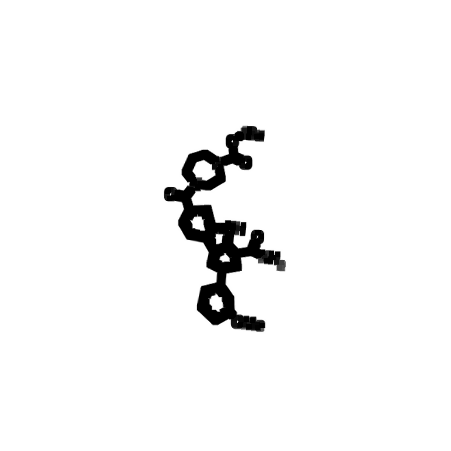 COc1cccc(-c2cc(C(N)=O)c3[nH]c4cc(C(=O)N5CCCN(C(=O)OC(C)(C)C)CC5)ccc4c3c2)c1